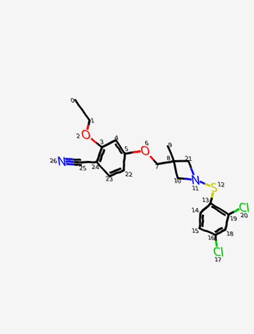 CCOc1cc(OCC2(C)CN(Sc3ccc(Cl)cc3Cl)C2)ccc1C#N